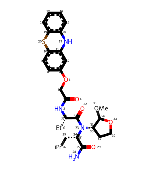 CC[C@H](NC(=O)COc1ccc2c(c1)Nc1ccccc1S2)C(=O)N([C@@H](CC(C)C)C(N)=O)[C@H]1CCOC1OC